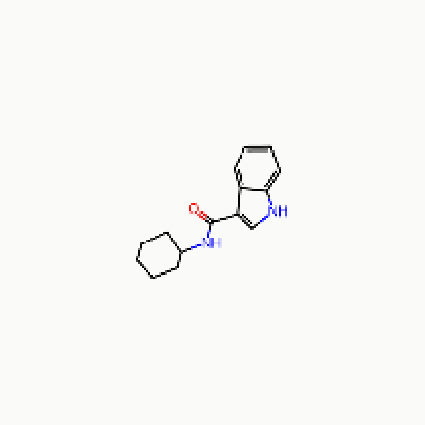 O=C(NC1CCCCC1)c1c[nH]c2ccccc12